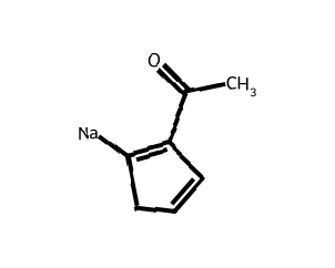 CC(=O)C1=[C]([Na])CC=C1